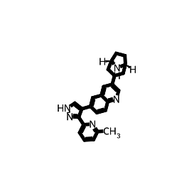 Cc1cccc(-c2n[nH]cc2-c2ccc3ncc(C4C[C@H]5CC[C@@H](C4)N5)cc3c2)n1